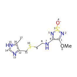 COc1n[s+]([O-])nc1NCCSCc1nc[nH]c1C